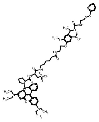 CCN(CC)c1ccc2c(-c3ccccc3C(=O)N3CCCC3C(=O)NC(CS(=O)(=O)O)C(=O)NCCCCCC(=O)NCCOc3cc([N+](=O)[O-])c(C(C)OC(=O)NCCSSc4ccccn4)cc3OC)c3ccc(N(CC)CC)cc3[o+]c2c1